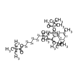 CC1=CC[C@@H]2[C@@H](C1)c1c(OC(=O)C(C)(C)C)cc(C(C)(C)CCCCCCOC(=O)C(C)(C)C)cc1OC2(C)C